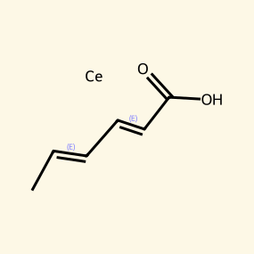 C/C=C/C=C/C(=O)O.[Ce]